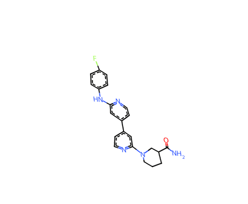 NC(=O)C1CCCN(c2cc(-c3ccnc(Nc4ccc(F)cc4)c3)ccn2)C1